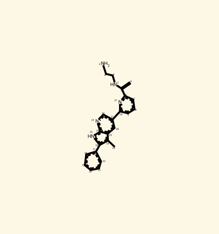 C=C(NCCN)c1cccc(-c2cnc3[nH]c(-c4ccccc4)c(C)c3c2)n1